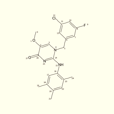 COc1cn(Cc2cc(F)cc(Cl)c2)c(Nc2cc(C)c(C)cc2C)nc1=O